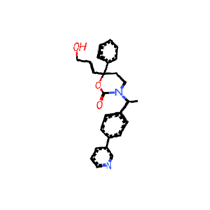 CC(c1ccc(-c2cccnc2)cc1)N1CCC(CCCO)(c2ccccc2)OC1=O